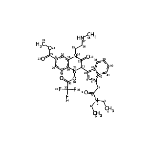 CCN(CC)C(=O)Cn1cc(C2C(=O)N(CCNC)c3cc(C(=O)OC)ccc3N2OC(=O)C(F)(F)F)c2ccccc21